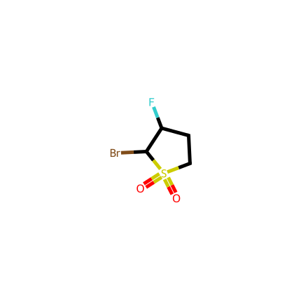 O=S1(=O)CCC(F)C1Br